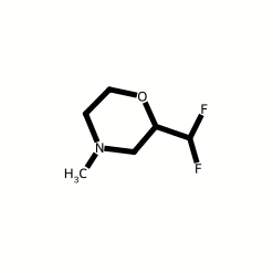 CN1CCOC(C(F)F)C1